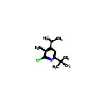 Cc1c(C(C)C)cc(C(C)(C)C)nc1Cl